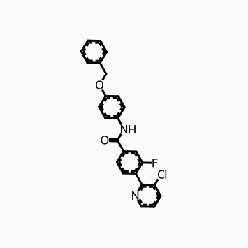 O=C(Nc1ccc(OCc2ccccc2)cc1)c1ccc(-c2ncccc2Cl)c(F)c1